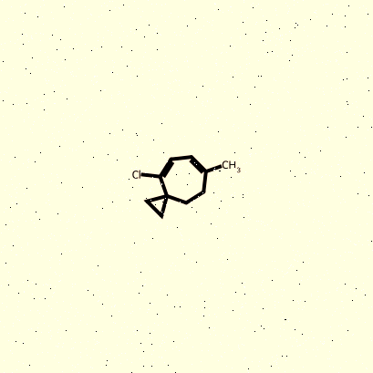 CC1=CC=C(Cl)C2(CC1)CC2